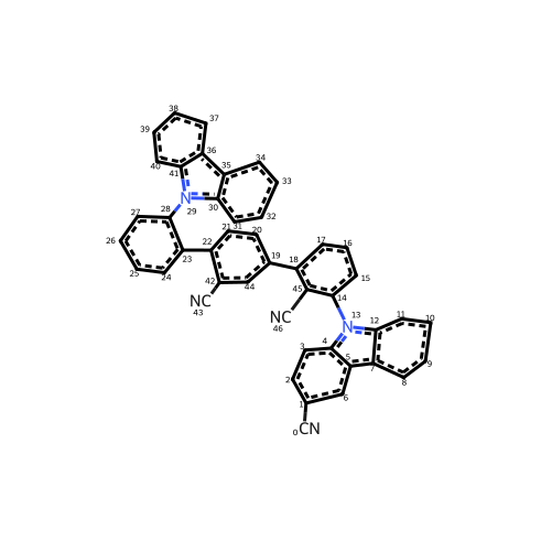 N#Cc1ccc2c(c1)c1ccccc1n2-c1cccc(-c2ccc(-c3ccccc3-n3c4ccccc4c4ccccc43)c(C#N)c2)c1C#N